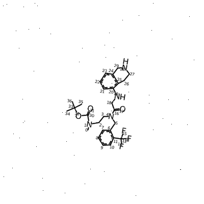 CN(CCN(Cc1ccccc1C(F)(F)F)C(=O)CNc1cccc2c1CCNC2)C(=O)OC(C)(C)C